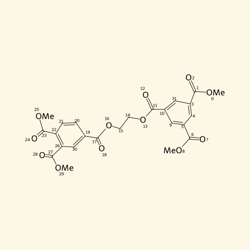 COC(=O)c1cc(C(=O)OC)cc(C(=O)OCCOC(=O)c2ccc(C(=O)OC)c(C(=O)OC)c2)c1